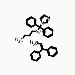 BC=C(c1ccccc1)c1ccccc1.CCCC[SiH2]C(c1ccccc1)(c1ccccc1)n1ccnc1